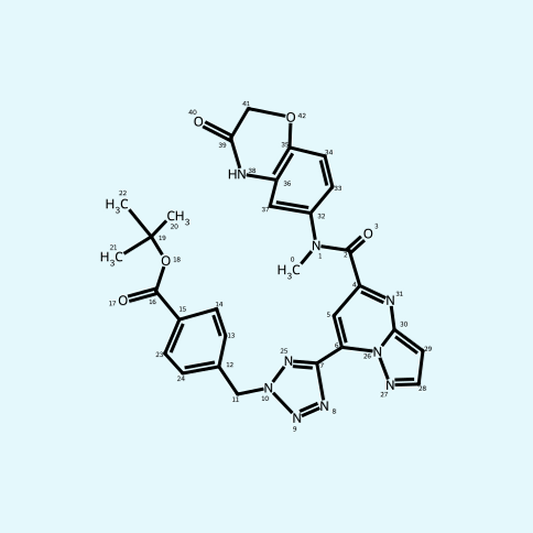 CN(C(=O)c1cc(-c2nnn(Cc3ccc(C(=O)OC(C)(C)C)cc3)n2)n2nccc2n1)c1ccc2c(c1)NC(=O)CO2